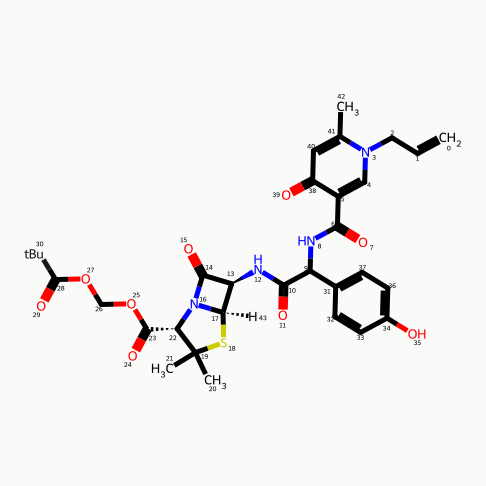 C=CCn1cc(C(=O)NC(C(=O)N[C@@H]2C(=O)N3[C@@H]2SC(C)(C)[C@@H]3C(=O)OCOC(=O)C(C)(C)C)c2ccc(O)cc2)c(=O)cc1C